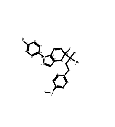 COc1ccc(CCC(C)(O)C2(C)C=Cc3c(cnn3-c3ccc(F)cc3)C2)cc1